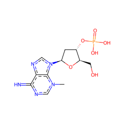 Cn1cnc(=N)c2ncn([C@H]3C[C@H](OP(=O)(O)O)[C@@H](CO)O3)c21